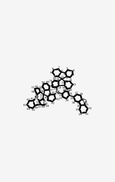 c1ccc2c(c1)-c1ccccc1C21c2ccccc2-c2c(N(c3ccc(-c4ccc5oc6ccccc6c5c4)cc3)c3cccc4c3-c3ccccc3C43c4ccccc4-n4c5ccccc5c5cccc3c54)cccc21